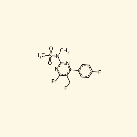 CC(C)c1nc(N(C)S(C)(=O)=O)nc(-c2ccc(F)cc2)c1CF